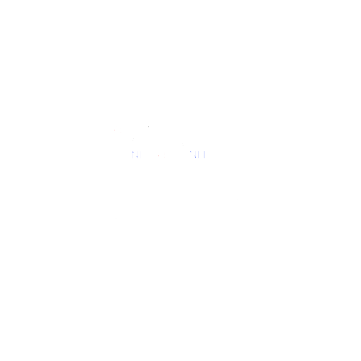 CC(CC(C)(C)C(=O)NCc1ccc2c(c1)CCCC2)C(=O)NCc1ccc2c(c1)CCCC2